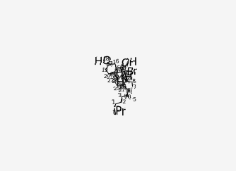 CC(C)CCC[C@@H](C)[C@H]1CC[C@H]2[C@@H]3[C@@H](Br)[C@@H](O)C4C[C@@H](O)CC[C@]4(C)[C@H]3CC[C@]12C